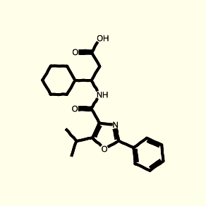 CC(C)c1oc(-c2ccccc2)nc1C(=O)NC(CC(=O)O)C1CCCCC1